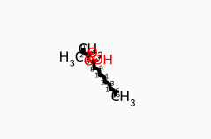 C=C(C)C(=O)OC(O)CCCCCCCCC